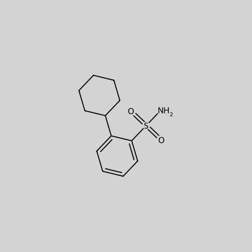 NS(=O)(=O)c1ccccc1C1CCCCC1